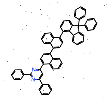 c1ccc(-c2cc(-c3ccc(-c4ccc(-c5cccc6c5-c5ccccc5C6(c5ccccc5)c5ccccc5)c5ccccc45)c4ccccc34)nc(-c3ccccc3)n2)cc1